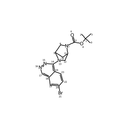 CC(C)(C)OC(=O)N1CC2CC1CN2c1nncc2cc(Br)ccc12